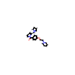 O=C(c1ccc(OCCN2CCCCC2)cc1)N1CCC[C@H]1CN1CCCC1